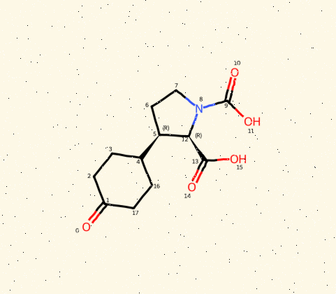 O=C1CCC([C@H]2CCN(C(=O)O)[C@H]2C(=O)O)CC1